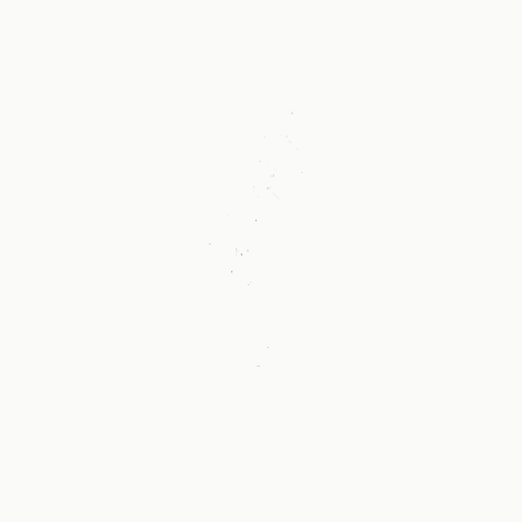 CCCCCCCCCCN=C(C)CCOC(=O)c1ccc(OC)cc1